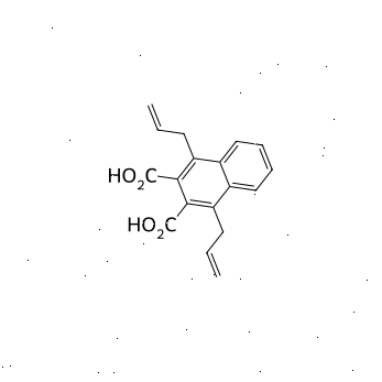 C=CCc1c(C(=O)O)c(C(=O)O)c(CC=C)c2ccccc12